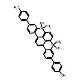 Cc1ccc(-c2ccc3c(c2)[Si](C)(C)c2ccc4c5c(ccc-3c25)-c2ccc(-c3ccc(C)cc3)cc2[Si]4(C)C)cc1